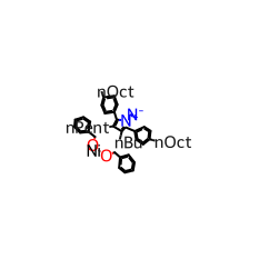 CCCCCCCCc1ccc(C2=C(CCCC)C(CCCCC)=C(c3ccc(CCCCCCCC)cc3)[N+]2=[N-])cc1.c1ccc(C[O][Ni][O]Cc2ccccc2)cc1